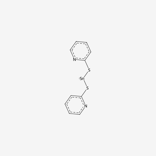 c1ccc([S][Sn][S]c2ccccn2)nc1